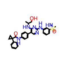 CC(CO)Nc1nc(Nc2cccc(S(C)(=N)=O)c2)ncc1-c1ccc(NC(=O)C2(c3ccccc3)CC2)cc1